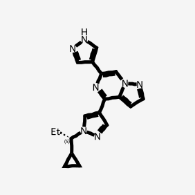 CC[C@@H](C1CC1)n1cc(-c2nc(-c3cn[nH]c3)cn3nccc23)cn1